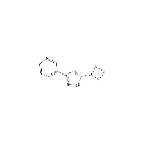 c1cncc(-c2cc(C3CC[N]3)on2)c1